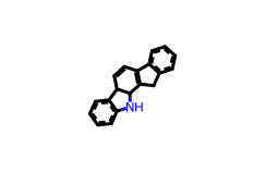 C1=CC2c3ccccc3NC2C2=C1c1ccccc1C2